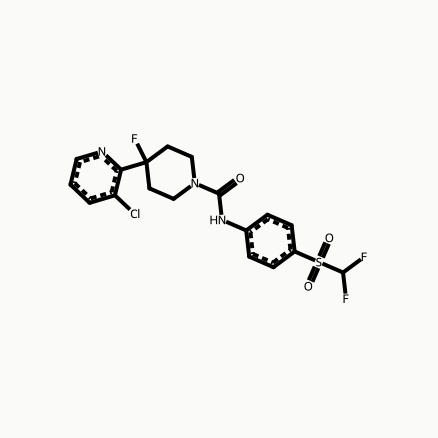 O=C(Nc1ccc(S(=O)(=O)C(F)F)cc1)N1CCC(F)(c2ncccc2Cl)CC1